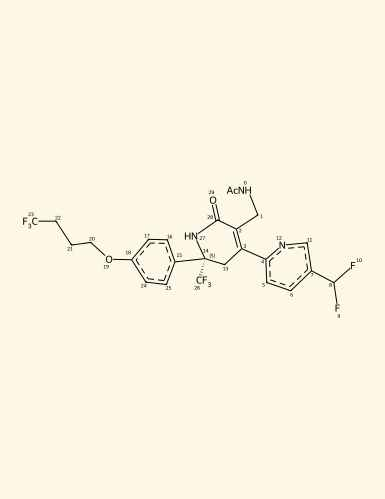 CC(=O)NCC1=C(c2ccc(C(F)F)cn2)C[C@](c2ccc(OCCCC(F)(F)F)cc2)(C(F)(F)F)NC1=O